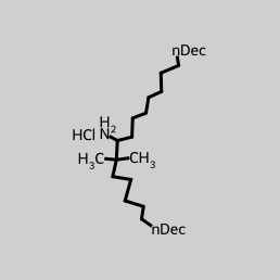 CCCCCCCCCCCCCCCCCC(N)C(C)(C)CCCCCCCCCCCCCCC.Cl